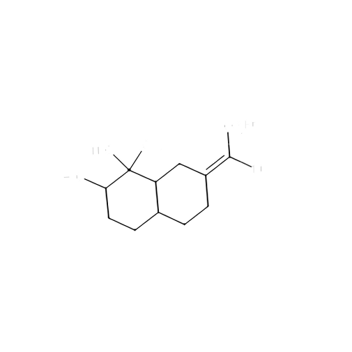 CCOC(=O)/C(CC)=C1/CCC2CCC(C)C(C)(C)C2C1